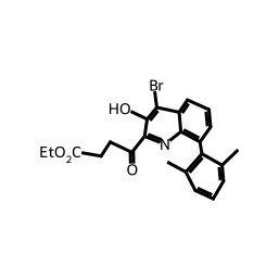 CCOC(=O)CCC(=O)c1nc2c(-c3c(C)cccc3C)cccc2c(Br)c1O